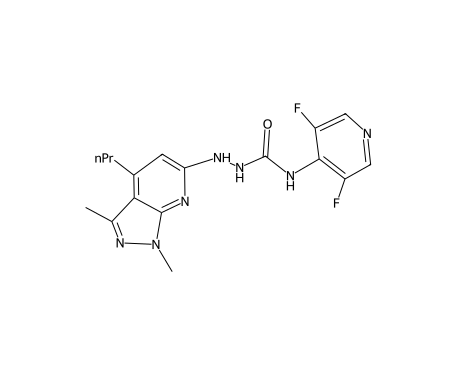 CCCc1cc(NNC(=O)Nc2c(F)cncc2F)nc2c1c(C)nn2C